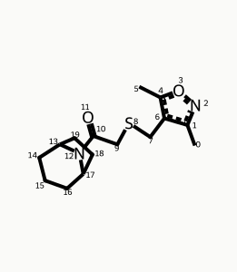 Cc1noc(C)c1CSCC(=O)N1C2CCCC1CC2